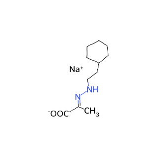 CC(=NNCCC1CCCCC1)C(=O)[O-].[Na+]